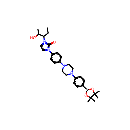 CCC(C(C)O)n1ccn(-c2ccc(N3CCN(c4ccc(B5OC(C)(C)C(C)(C)O5)cc4)CC3)cc2)c1=O